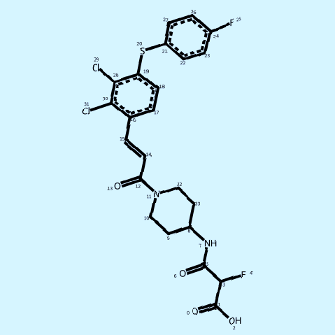 O=C(O)C(F)C(=O)NC1CCN(C(=O)C=Cc2ccc(Sc3ccc(F)cc3)c(Cl)c2Cl)CC1